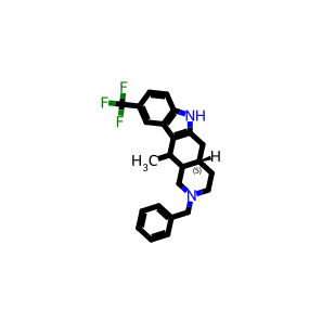 CC1c2c([nH]c3ccc(C(F)(F)F)cc23)C[C@@H]2CCN(Cc3ccccc3)CC12